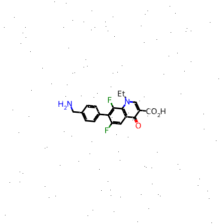 CCn1cc(C(=O)O)c(=O)c2cc(F)c(-c3ccc(CN)cc3)c(F)c21